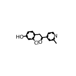 Cc1cc(C(=O)Cc2ccc(O)cc2Cl)ccn1